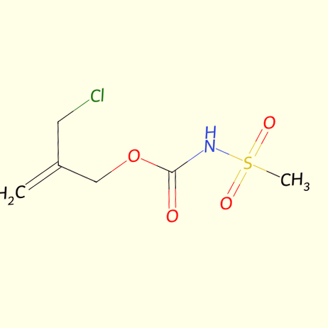 C=C(CCl)COC(=O)NS(C)(=O)=O